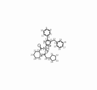 O=C(Nc1nc(-c2ccccc2)c(Cc2ccccc2)s1)C1CCCCN1C(=O)CC1CCCC1